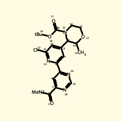 CNC(=O)c1cc(-c2cc(C3C(C)OCCN3C(=O)OC(C)(C)C)cc(Cl)n2)ncn1